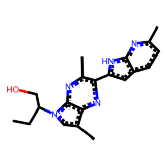 CCC(CO)n1cc(C)c2nc(-c3cc4ccc(C)nc4[nH]3)c(C)nc21